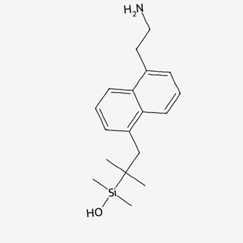 CC(C)(Cc1cccc2c(CCN)cccc12)[Si](C)(C)O